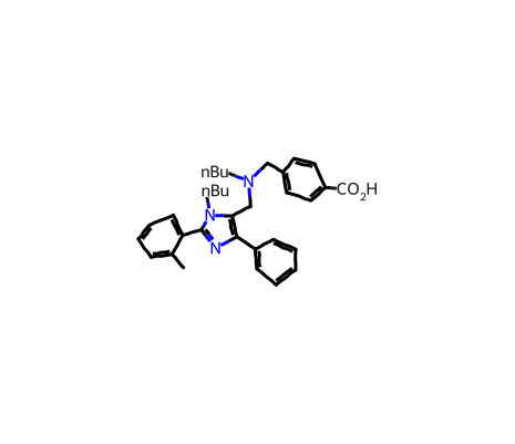 CCCCN(Cc1ccc(C(=O)O)cc1)Cc1c(-c2ccccc2)nc(-c2ccccc2C)n1CCCC